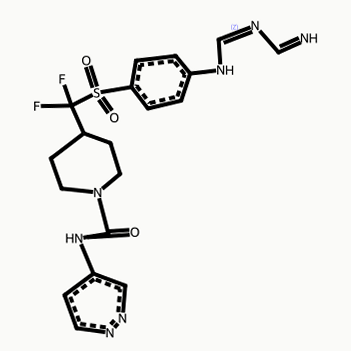 N=C/N=C\Nc1ccc(S(=O)(=O)C(F)(F)C2CCN(C(=O)Nc3ccnnc3)CC2)cc1